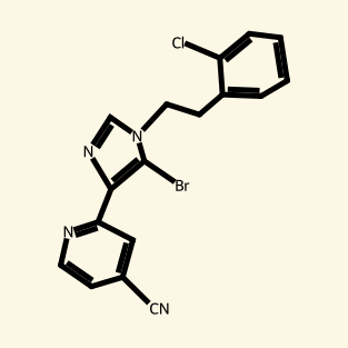 N#Cc1ccnc(-c2ncn(CCc3ccccc3Cl)c2Br)c1